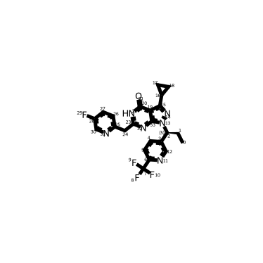 CC[C@@H](c1ccc(C(F)(F)F)nc1)n1nc(C2CC2)c2c(=O)[nH]c(Cc3ccc(F)cn3)nc21